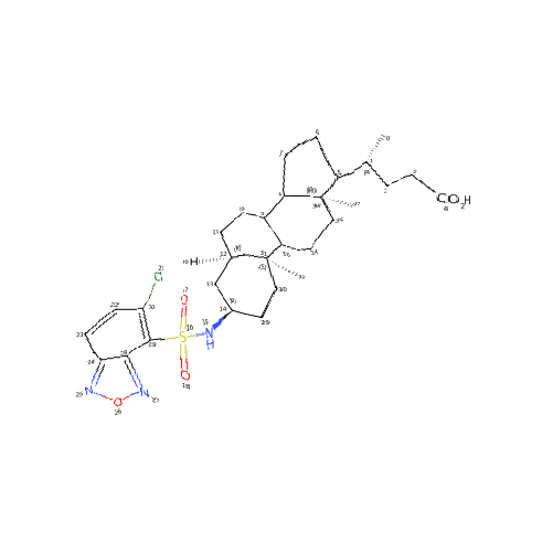 C[C@H](CCC(=O)O)C1CCC2C3CC[C@@H]4C[C@H](NS(=O)(=O)c5c(Cl)ccc6nonc56)CC[C@]4(C)C3CC[C@@]21C